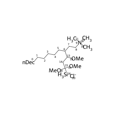 CCCCCCCCCCCCCCCC(CC[N+](C)(C)C)C(CC([SiH3])(OC)OC)OC.[Cl-]